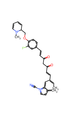 C=c1ccn(C#N)/c1=C/C(=C\C)/C=C/C(=O)CC(=O)/C=C/c1ccc(OCC2C=CC=CN2C)c(F)c1